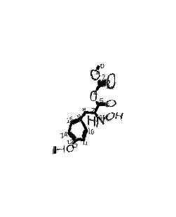 COC(=O)OC(=O)C(Cc1ccc(O)cc1)NO